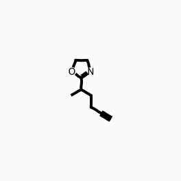 C#CCCC(C)C1=NCCO1